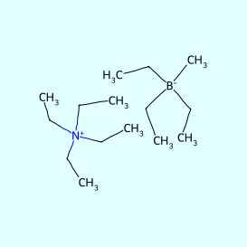 CC[B-](C)(CC)CC.CC[N+](CC)(CC)CC